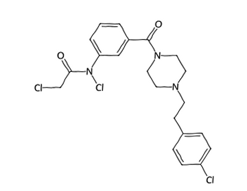 O=C(c1cccc(N(Cl)C(=O)CCl)c1)N1CCN(CCc2ccc(Cl)cc2)CC1